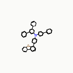 C1=CCCC(c2cc(-c3ccccc3)cc(N(c3ccc(-c4ccccc4)cc3)c3ccc(-c4cccc5c4SC4C=CC=CC54)cc3)c2)=C1